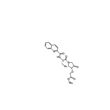 CC(C)C[C@H](NC(=O)c1ccc2ccccc2n1)C(=O)N1CC(=O)C(OCC(=O)OC(C)(C)C)C1